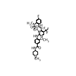 COc1cc(C(=O)NC2CCN(C)CC2)ccc1Nc1ncc(C(F)(F)F)c(NCc2ccc(F)cc2N(C)S(C)(=O)=O)n1